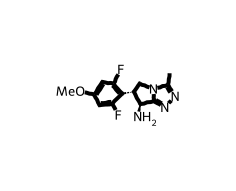 COc1cc(F)c([C@@H]2Cn3c(C)nnc3[C@H]2N)c(F)c1